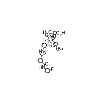 C[C@@H](NC(=O)[C@H](Cc1ccc(-c2ncc(-c3cccc(C(=O)Nc4cccc(F)c4)c3)cn2)cc1)NC(=O)c1ccc(C(C)(C)C)s1)C(=O)O